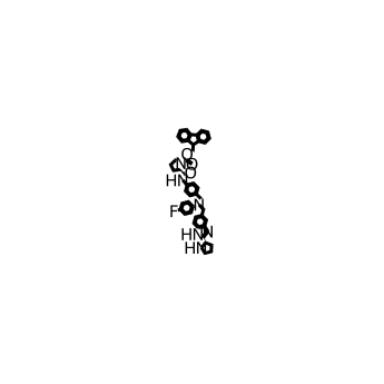 O=C(Nc1ccc(CN(Cc2ccc3[nH]c([C@@H]4CCCN4)nc3c2)c2ccc(F)cc2)cc1)[C@H]1CCCN1C(=O)OCC1c2ccccc2-c2ccccc21